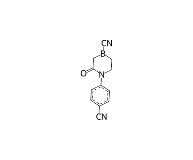 N#CB1CCN(c2ccc(C#N)cc2)C(=O)C1